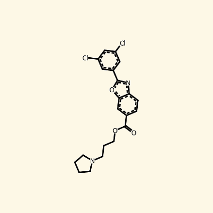 O=C(OCCCN1CCCC1)c1ccc2nc(-c3cc(Cl)cc(Cl)c3)oc2c1